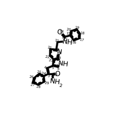 NC(=O)/C(=C\c1c[nH]c2nc(CNC(=O)c3ccccc3)ccc12)c1ccccc1